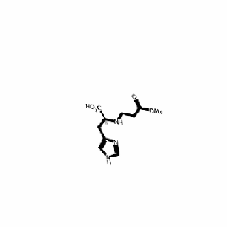 COC(=O)CCN[C@@H](Cc1c[nH]cn1)C(=O)O